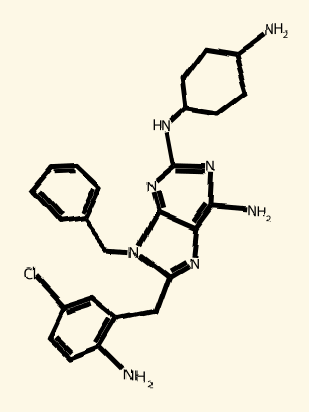 Nc1ccc(Cl)cc1Cc1nc2c(N)nc(NC3CCC(N)CC3)nc2n1Cc1ccccc1